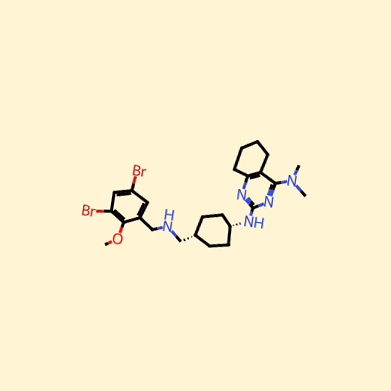 COc1c(Br)cc(Br)cc1CNC[C@H]1CC[C@@H](Nc2nc3c(c(N(C)C)n2)CCCC3)CC1